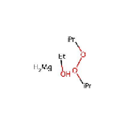 CC(C)OOC(C)C.CCO.[MgH2]